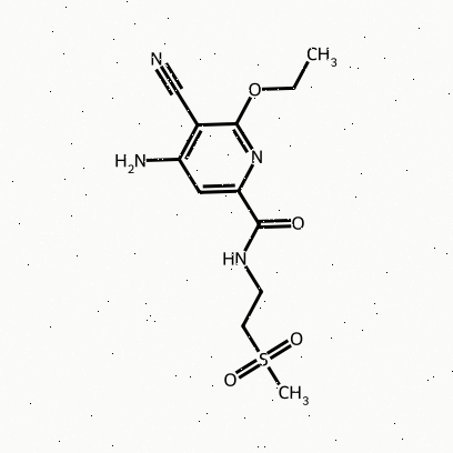 CCOc1nc(C(=O)NCCS(C)(=O)=O)cc(N)c1C#N